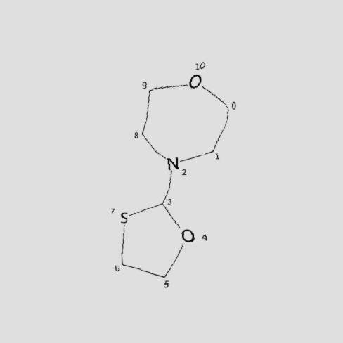 C1CN(C2OCCS2)CCO1